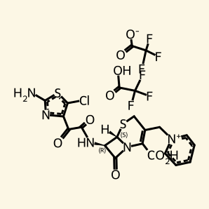 Nc1nc(C(=O)C(=O)N[C@@H]2C(=O)N3C(C(=O)O)=C(C[n+]4ccccc4)CS[C@@H]23)c(Cl)s1.O=C(O)C(F)(F)F.O=C([O-])C(F)(F)F